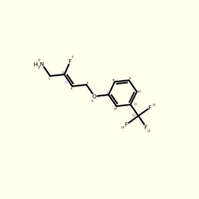 NC/C(F)=C/COc1cccc(C(F)(F)F)c1